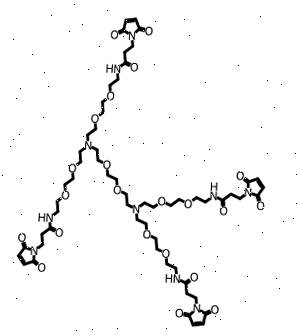 O=C(CCN1C(=O)C=CC1=O)NCCOCCOCCN(CCOCCOCCNC(=O)CCN1C(=O)C=CC1=O)CCOCCOCCN(CCOCCOCCNC(=O)CCN1C(=O)C=CC1=O)CCOCCOCCNC(=O)CCN1C(=O)C=CC1=O